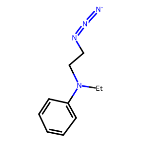 CCN(CCN=[N+]=[N-])c1ccccc1